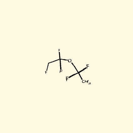 CC(F)(F)OC(F)(F)CF